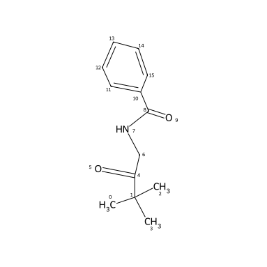 CC(C)(C)C(=O)CNC(=O)c1ccccc1